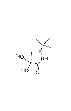 CC(C)(C)N1CC(O)(O)C(=O)N1